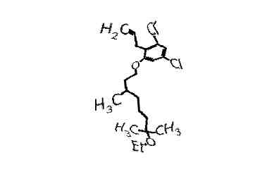 C=CCc1c(Cl)cc(Cl)cc1OCCC(C)CCCC(C)(C)OCC